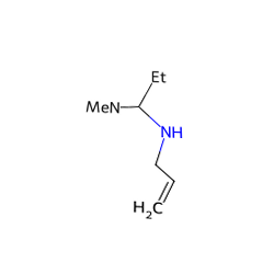 C=CCNC(CC)NC